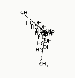 CCCCCCCCCCCCCC(O)CCC(O)CCC(O)CCC(O)CCC(O)CCO[Si](OCC)(OCCC(O)CCC(O)CCC(O)CCC(O)CCC(O)CCCCCCCCCCCCC)C(S)(S)CCc1nc2ccccc2s1